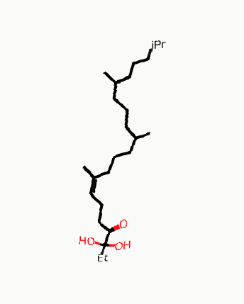 CCC(O)(O)C(=O)CCC=C(C)CCCC(C)CCCC(C)CCCC(C)C